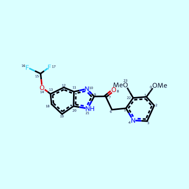 COc1ccnc(CC(=O)c2nc3cc(OC(F)F)ccc3[nH]2)c1OC